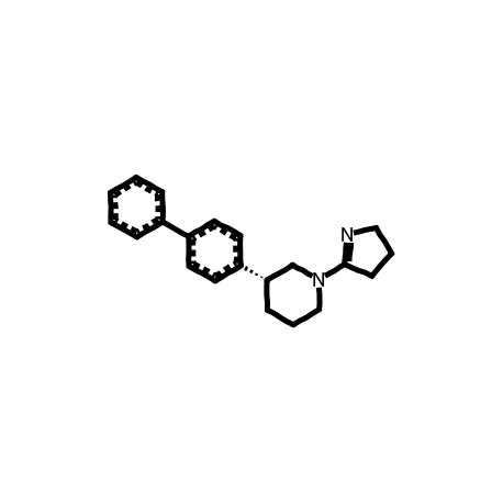 c1ccc(-c2ccc([C@H]3CCCN(C4=NCCC4)C3)cc2)cc1